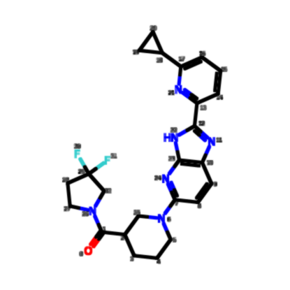 O=C(C1CCCN(c2ccc3nc(-c4cccc(C5CC5)n4)[nH]c3n2)C1)N1CCC(F)(F)C1